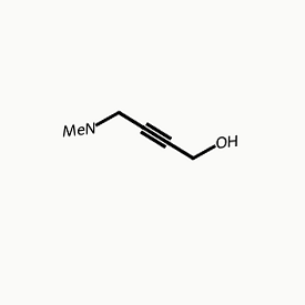 CNCC#CCO